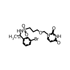 C[C@@H](NS(=O)(=O)CCCOCn1ccc(=O)[nH]c1=O)c1cccc(Br)c1